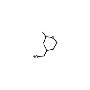 C[C]1SCCC(CO)S1